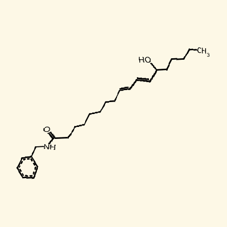 CCCCCC(O)/C=C/C=C/CCCCCCCC(=O)NCc1ccccc1